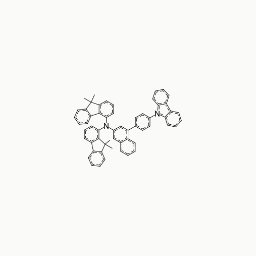 CC1(C)c2ccccc2-c2c(N(c3cc(-c4ccc(-n5c6ccccc6c6ccccc65)cc4)c4ccccc4c3)c3cccc4c3C(C)(C)c3ccccc3-4)cccc21